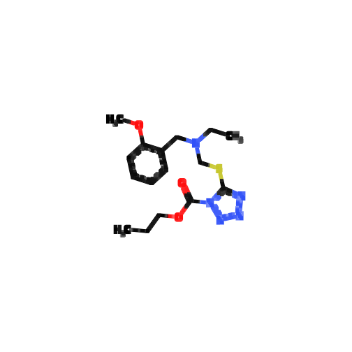 CCCOC(=O)n1nnnc1SCN(CC)Cc1ccccc1OC